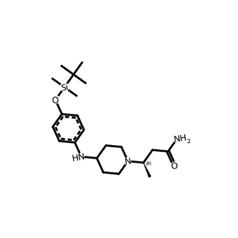 C[C@H](CC(N)=O)N1CCC(Nc2ccc(O[Si](C)(C)C(C)(C)C)cc2)CC1